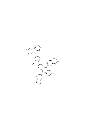 N#Cc1cc(N2c3ccccc3C3C=CC=NC32)ccc1-c1ccc2c(-c3ccc4ccccc4c3)c3ccccc3c(-c3ccc4ccccc4c3)c2c1